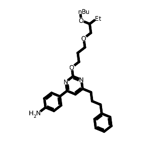 CCCCOC(CC)COCCCOc1nc(CCCc2ccccc2)cc(-c2ccc(N)cc2)n1